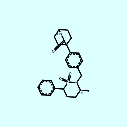 C[C@H]1CCC(c2ccccc2)S(=O)(=O)N1Cc1ccc(C23CCC(CC2)NC3=O)cc1